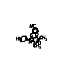 Cn1c(=O)c2c(nc(N3CCNCC3)n2Cc2cccc(C#N)c2)n(C)c1=O